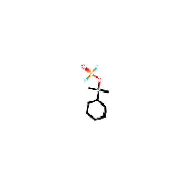 C[Si](C)(OP(=O)(F)F)C1CCCCC1